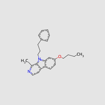 CCCCOc1ccc2c3ccnc(C)c3n(CCCc3ccccc3)c2c1